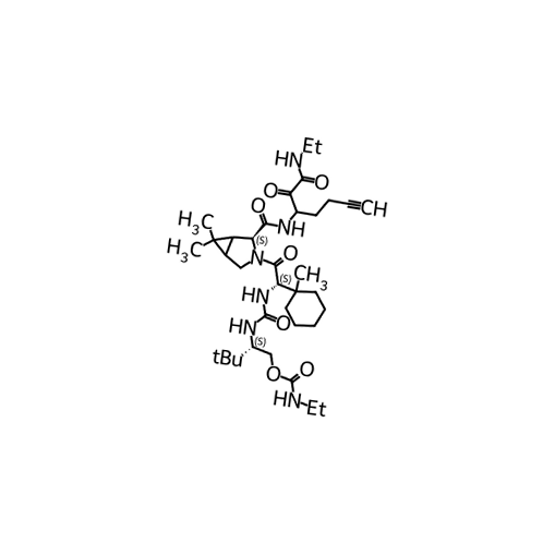 C#CCCC(NC(=O)[C@@H]1C2C(CN1C(=O)[C@@H](NC(=O)N[C@H](COC(=O)NCC)C(C)(C)C)C1(C)CCCCC1)C2(C)C)C(=O)C(=O)NCC